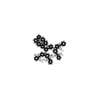 CC(C)(c1ccccc1)c1ccc2c(c1)c1cc(C(C)(C)c3ccccc3)ccc1n2-c1ccc2c(c1)c1cc(-n3c4ccc(C(C)(C)c5ccccc5)cc4c4cc(C(C)(C)c5ccccc5)ccc43)ccc1n2-c1cccc([Si]2(c3ccccc3)c3ccccc3[Si](c3ccccc3)(c3ccccc3)c3ccccc32)c1